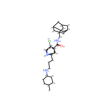 CC1CCC(NCCCc2cc(C(=O)NCC34CC5CC(CC(C5)C3)C4)c(Cl)cn2)CC1